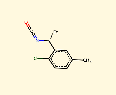 CC[C@@H](N=C=O)c1cc(C)ccc1Cl